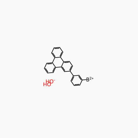 [B+2]c1cccc(-c2ccc3c4ccccc4c4ccccc4c3c2)c1.[OH-].[OH-]